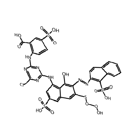 O=C(O)c1cc(S(=O)(=O)O)ccc1Nc1nc(Cl)nc(Nc2cc(S(=O)(=O)O)cc3cc(SOOO)c(N=Nc4ccc5ccccc5c4S(=O)(=O)O)c(O)c23)n1